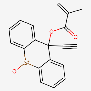 C#CC1(OC(=O)C(=C)C)c2ccccc2[S+]([O-])c2ccccc21